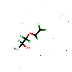 CC(O)(F)C(F)(F)OC(F)C(F)F